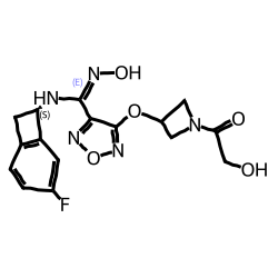 O=C(CO)N1CC(Oc2nonc2/C(=N\O)N[C@H]2Cc3ccc(F)cc32)C1